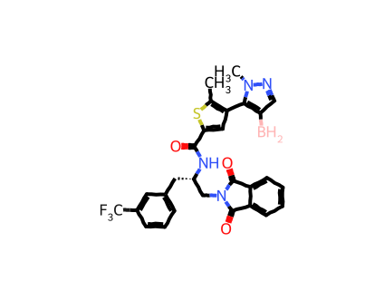 Bc1cnn(C)c1-c1cc(C(=O)N[C@@H](Cc2cccc(C(F)(F)F)c2)CN2C(=O)c3ccccc3C2=O)sc1C